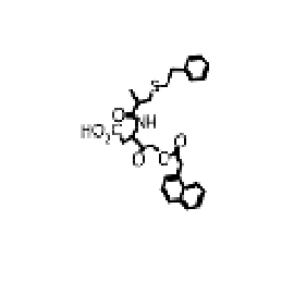 CC(CSCCc1ccccc1)C(=O)NC(CC(=O)O)C(=O)COC(=O)Cc1cccc2ccccc12